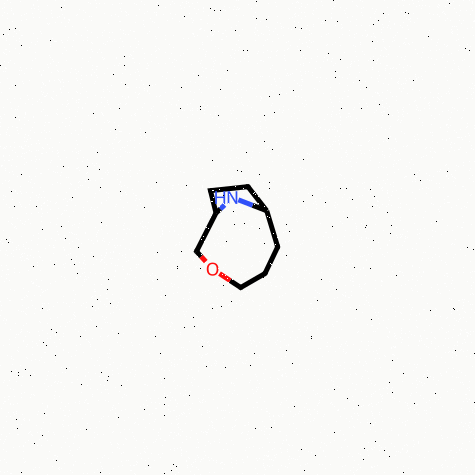 C1COCC2CCC(C1)N2